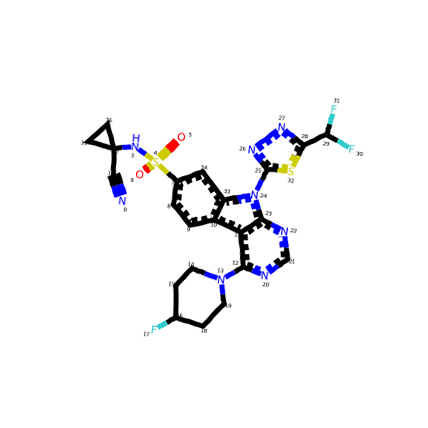 N#CC1(NS(=O)(=O)c2ccc3c4c(N5CCC(F)CC5)ncnc4n(-c4nnc(C(F)F)s4)c3c2)CC1